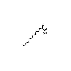 C=C(CCCCCCCCCCC)C(=O)O